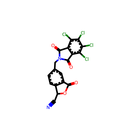 N#CC1OC(=O)c2cc(CN3C(=O)c4c(Cl)c(Cl)c(Cl)c(Cl)c4C3=O)ccc21